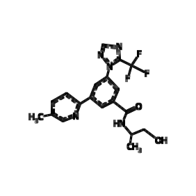 Cc1ccc(-c2cc(C(=O)NC(C)CO)cc(-n3ncnc3C(F)(F)F)c2)nc1